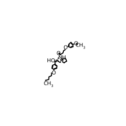 CCCCCCOc1ccc([C@@H](O)[C@H](CNC(=O)CCCOc2ccc(OC)cc2)CN2CCCC2)cc1